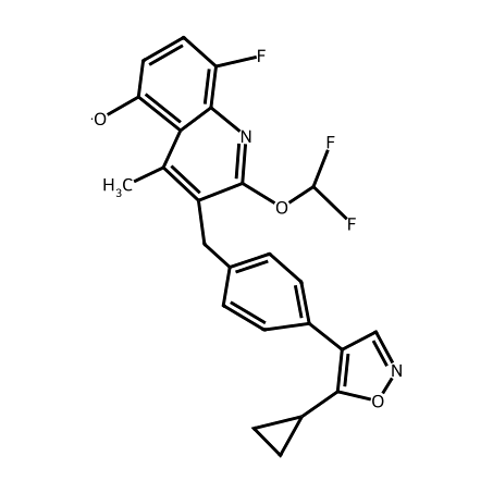 Cc1c(Cc2ccc(-c3cnoc3C3CC3)cc2)c(OC(F)F)nc2c(F)ccc([O])c12